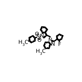 Cc1ccc(S(=O)(=O)n2cc(Cn3c(-c4ccccc4F)nc4cc(C)ccc43)c3ccccc32)cc1